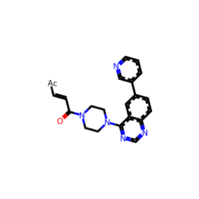 CC(=O)C=CC(=O)N1CCN(c2ncnc3ccc(-c4cccnc4)cc23)CC1